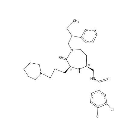 CCC(CN1CC[C@@H](CNC(=O)c2ccc(Cl)c(Cl)c2)N[C@@H](CCCN2CCCCC2)C1=O)c1ccccc1